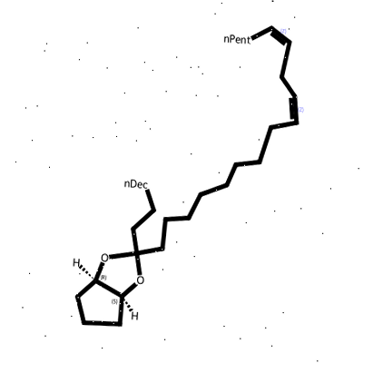 CCCCC/C=C\C/C=C\CCCCCCCCC1(CCCCCCCCCCCC)O[C@H]2CCC[C@H]2O1